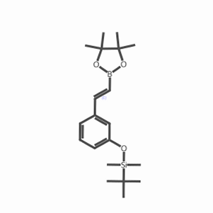 CC1(C)OB(/C=C/c2cccc(O[Si](C)(C)C(C)(C)C)c2)OC1(C)C